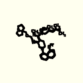 C=N/C(=C1/CCN(c2cccc3cccc(CCC)c23)C/C1=N/COCC12CCCN1CCC2)N(CCCC)C/C(C)=C/C(C)=N\C